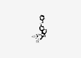 CCOCc1nc2cnc3cc(OCc4ccccc4)ccc3c2n1NC(=O)O